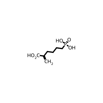 C=C(CCCCP(=O)(O)O)C(=O)O